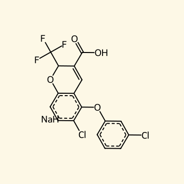 O=C(O)C1=Cc2c(ccc(Cl)c2Oc2cccc(Cl)c2)OC1C(F)(F)F.[NaH]